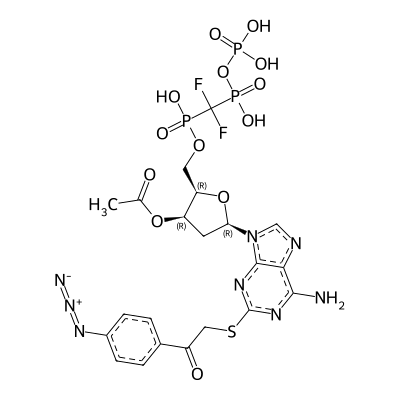 CC(=O)O[C@@H]1C[C@H](n2cnc3c(N)nc(SCC(=O)c4ccc(N=[N+]=[N-])cc4)nc32)O[C@@H]1COP(=O)(O)C(F)(F)P(=O)(O)OP(=O)(O)O